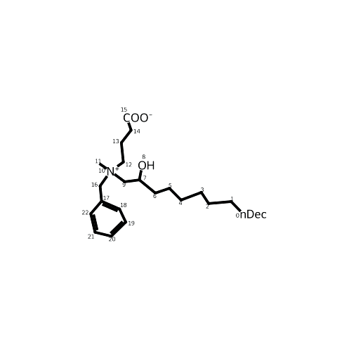 CCCCCCCCCCCCCCCCC(O)C[N+](C)(CCCC(=O)[O-])Cc1ccccc1